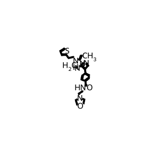 C=Nc1c(-c2ccc(C(=O)NCCN3CCOCC3)cc2)cnn1/C(=C\C)NCCc1cccs1